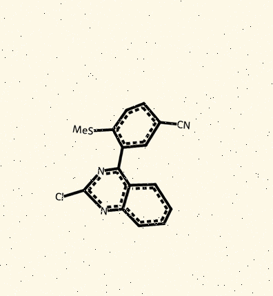 CSc1ccc(C#N)cc1-c1nc(Cl)nc2ccccc12